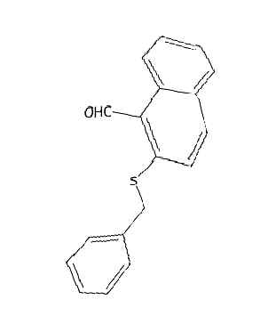 O=Cc1c(SCc2ccccc2)ccc2ccccc12